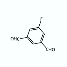 O=Cc1cc(F)cc(C=O)c1